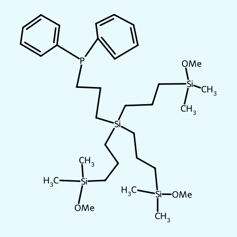 CO[Si](C)(C)CCC[Si](CCCP(c1ccccc1)c1ccccc1)(CCC[Si](C)(C)OC)CCC[Si](C)(C)OC